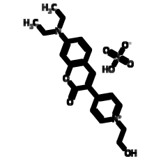 CCN(CC)c1ccc2cc(-c3cc[n+](CCO)cc3)c(=O)oc2c1.O=S(=O)([O-])O